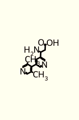 Cc1cncc(C)c1-c1cncc(C(N)CC(=O)O)c1